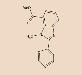 COC(=O)c1cccc2nc(-c3ccncc3)n(C)c12